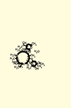 CC[C@H]1OC(=O)[C@H](C)[C@@H](O[C@H]2C[C@@](C)(OC)[C@@H](O)[C@H](C)O2)[C@H](C)[C@@H](O[C@@H]2O[C@H](C)C[C@H](N(C)C)[C@H]2O)[C@](C)(O)C[C@@H](C)CN(C)[C@H](C)[C@@H](O)[C@]1(C)O.O